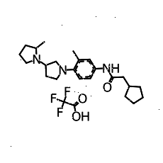 Cc1cc(NC(=O)CC2CCCC2)ccc1N1CCC(N2CCCC2C)C1.O=C(O)C(F)(F)F